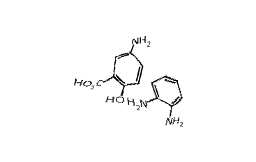 Nc1ccc(O)c(C(=O)O)c1.Nc1ccccc1N